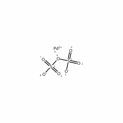 O=S(=O)([O-])OS(=O)(=O)[O-].[Pd+2]